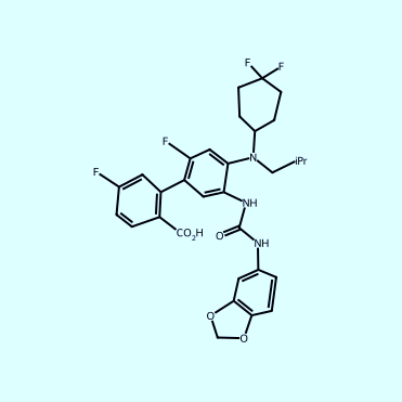 CC(C)CN(c1cc(F)c(-c2cc(F)ccc2C(=O)O)cc1NC(=O)Nc1ccc2c(c1)OCO2)C1CCC(F)(F)CC1